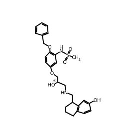 CS(=O)(=O)Nc1cc(OC[C@H](O)CNCC2CCCc3ccc(O)cc32)ccc1OCc1ccccc1